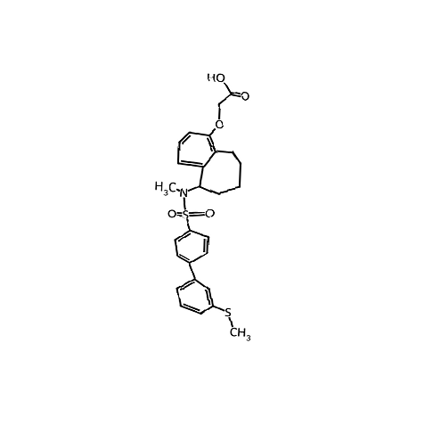 CSc1cccc(-c2ccc(S(=O)(=O)N(C)C3CCCCc4c(OCC(=O)O)cccc43)cc2)c1